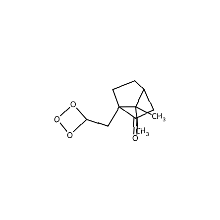 CC1(C)C2CCC1(CC1OOO1)C(=O)C2